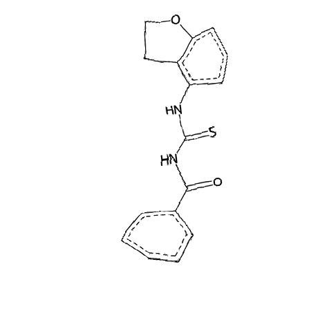 O=C(NC(=S)Nc1cccc2c1CCO2)c1ccccc1